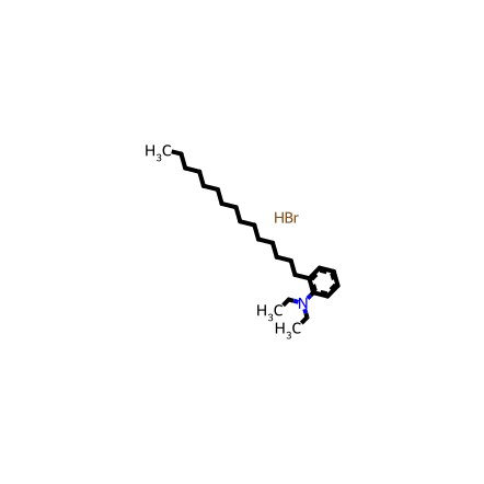 Br.CCCCCCCCCCCCCCCc1ccccc1N(CC)CC